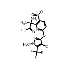 Cn1nc(Oc2ccc([N+](=O)[O-])c(C(C)(N)C(=O)O)n2)c(Cl)c1C(F)(F)F